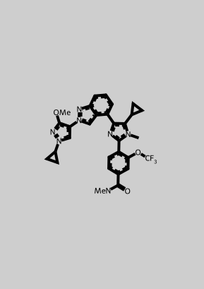 CNC(=O)c1ccc(-c2nc(-c3cccc4nn(-c5cn(C6CC6)nc5OC)cc34)c(C3CC3)n2C)c(OC(F)(F)F)c1